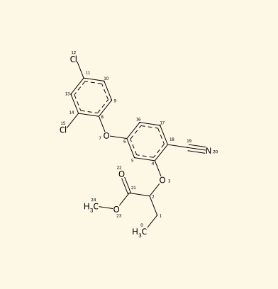 CCC(Oc1cc(Oc2ccc(Cl)cc2Cl)ccc1C#N)C(=O)OC